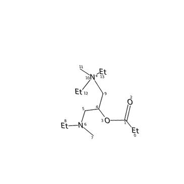 CCC(=O)OC(CN(C)CC)C[N+](C)(CC)CC